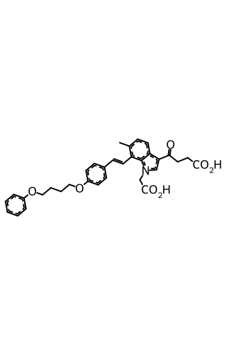 Cc1ccc2c(C(=O)CCC(=O)O)cn(CC(=O)O)c2c1/C=C/c1ccc(OCCCCOc2ccccc2)cc1